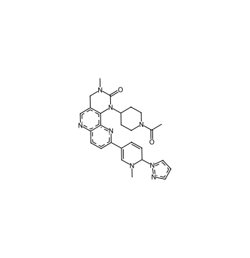 CC(=O)N1CCC(N2C(=O)N(C)Cc3cnc4ccc(C5=CN(C)C(n6cccn6)C=C5)nc4c32)CC1